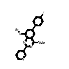 CCOc1cc(-c2ccc(F)cc2)cc2c(NC)nc(-c3cccnc3)nc12